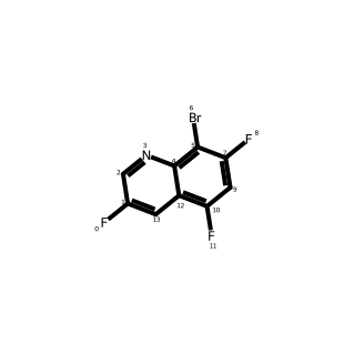 Fc1cnc2c(Br)c(F)cc(F)c2c1